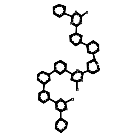 Clc1cc(-c2cccc(-c3cccc(-c4cccc(-c5nc(Cl)nc(-c6ccccc6)n5)c4)c3)c2)nc(-c2cccc(-c3cccc(-c4cccc(-c5nc(Cl)nc(-c6ccccc6)n5)c4)c3)c2)n1